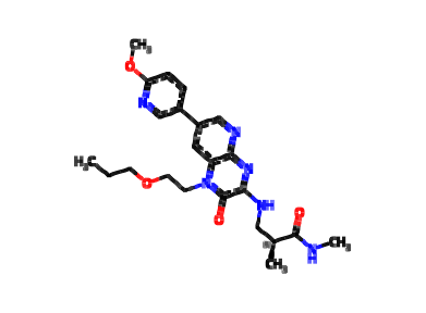 CCCOCCn1c(=O)c(NC[C@H](C)C(=O)NC)nc2ncc(-c3ccc(OC)nc3)cc21